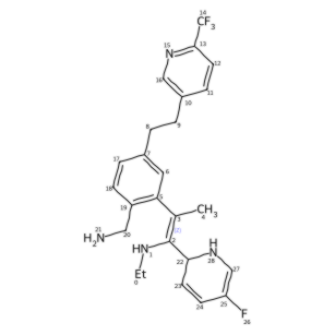 CCN/C(=C(/C)c1cc(CCc2ccc(C(F)(F)F)nc2)ccc1CN)C1C=CC(F)=CN1